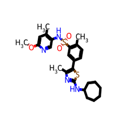 COc1cc(C)c(NS(=O)(=O)c2cc(-c3sc(NC4CCCCCC4)nc3C)ccc2C)cn1